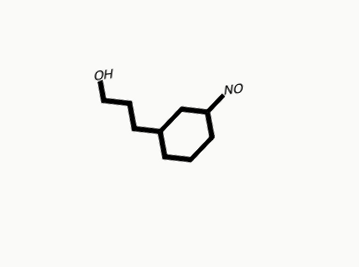 O=NC1CCCC(CCCO)C1